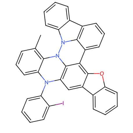 Cc1cccc2c1n1n3c4ccccc4c4cccc(c5c-1c(cc1c6ccccc6oc15)n2-c1ccccc1I)c43